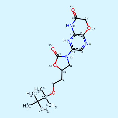 CC(C)(C)[Si](C)(C)OCCC1CN(c2cnc3c(n2)NC(=O)CO3)C(=O)O1